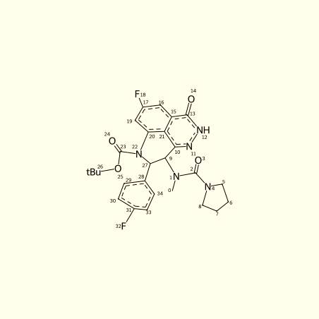 CN(C(=O)N1CCCC1)C1c2n[nH]c(=O)c3cc(F)cc(c23)N(C(=O)OC(C)(C)C)C1c1ccc(F)cc1